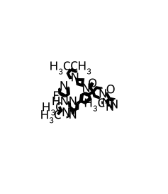 CC(C)n1cnc2cc(-c3ccc4c(c3)N([C@H]3C[C@@H](N5CCC(C)(C)C5)C3)C(=O)C43CCN(C(=O)c4cnnn4C)CC3)nc(Nc3ccncc3F)c21